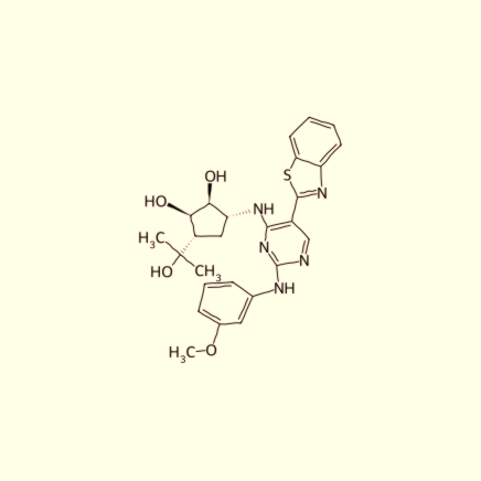 COc1cccc(Nc2ncc(-c3nc4ccccc4s3)c(N[C@@H]3C[C@H](C(C)(C)O)[C@@H](O)[C@H]3O)n2)c1